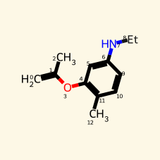 C=C(C)Oc1cc(NCC)ccc1C